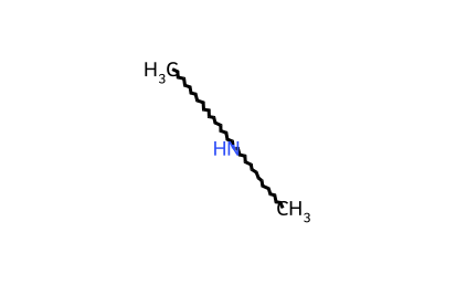 CCCCCCCCCCCCCCCCCCCCNCCCCCCCCCCCCCCCC